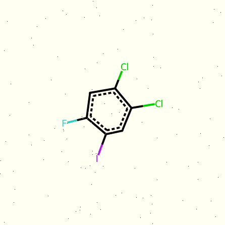 Fc1cc(Cl)c(Cl)cc1I